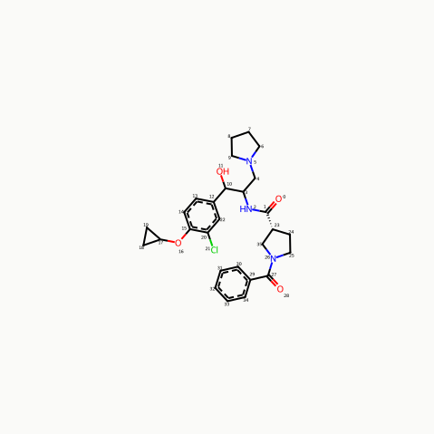 O=C(NC(CN1CCCC1)C(O)c1ccc(OC2CC2)c(Cl)c1)[C@@H]1CCN(C(=O)c2ccccc2)C1